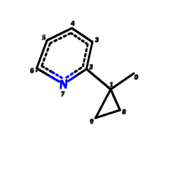 CC1(c2ccc[c]n2)CC1